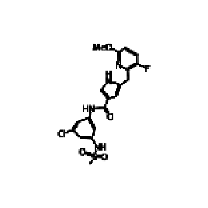 COc1ccc(F)c(Cc2cc(C(=O)Nc3cc(Cl)cc(NS(C)(=O)=O)c3)c[nH]2)n1